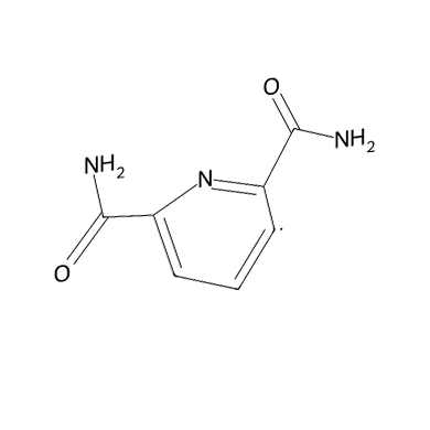 NC(=O)c1[c]ccc(C(N)=O)n1